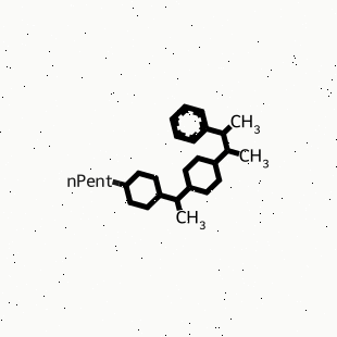 CCCCCC1CCC(C(C)C2CCC(C(C)C(C)c3ccccc3)CC2)CC1